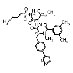 CCCCS(=O)(=O)NC(=O)[C@@H](NC(=O)[C@H](Cc1ccc(-c2ccno2)cc1)N(C)C(=O)c1cc(C)cc(C)c1)[C@@H](C)CC